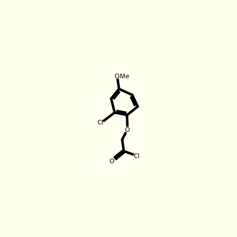 COc1ccc(OCC(=O)Cl)c(Cl)c1